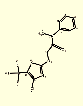 CN(C(=O)COc1nc(Cl)c(C(F)(F)F)s1)c1ccccc1